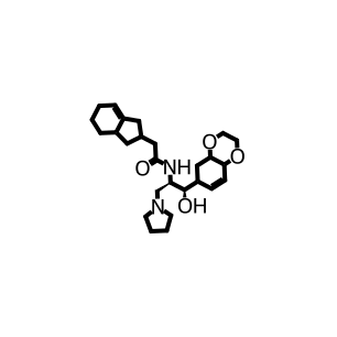 O=C(CC1CC2=CCCCC2C1)N[C@H](CN1CCCC1)[C@H](O)C1C=CC2OCCOC2C1